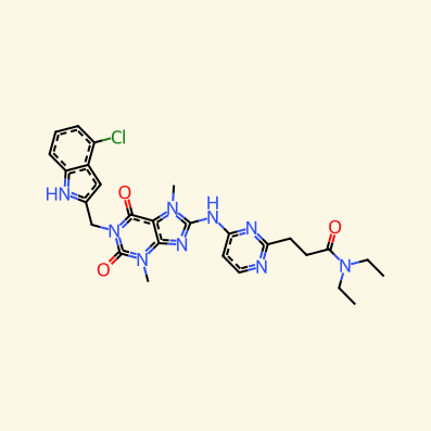 CCN(CC)C(=O)CCc1nccc(Nc2nc3c(c(=O)n(Cc4cc5c(Cl)cccc5[nH]4)c(=O)n3C)n2C)n1